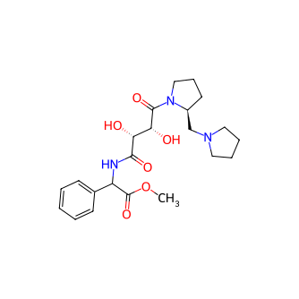 COC(=O)C(NC(=O)[C@H](O)[C@@H](O)C(=O)N1CCC[C@H]1CN1CCCC1)c1ccccc1